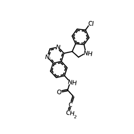 C=C=CC(=O)Nc1ccc2ncnc(C3CNc4cc(Cl)ccc43)c2c1